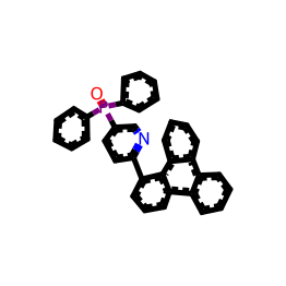 O=P(c1ccccc1)(c1ccccc1)c1ccc(-c2cccc3c4ccccc4c4ccccc4c23)nc1